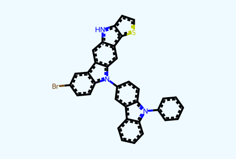 Brc1ccc2c(c1)c1cc3[nH]c4ccsc4c3cc1n2-c1ccc2c(c1)c1ccccc1n2-c1ccccc1